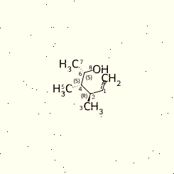 C=C[C@@H](C)[C@H](C)[C@H](C)O